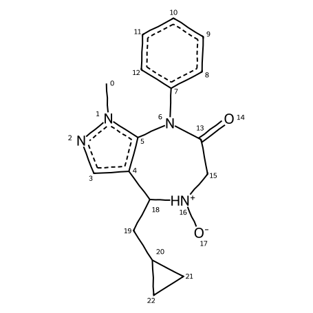 Cn1ncc2c1N(c1ccccc1)C(=O)C[NH+]([O-])C2CC1CC1